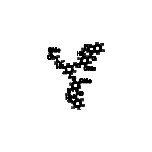 COc1cc2c(cc1OCc1cc(COc3cc4c(cc3OC)C(=O)N3c5ccccc5C[C@H]3CN4)cc(NCCCC3OC3OC)c1)N=C[C@@H]1Cc3ccccc3N1C2=O